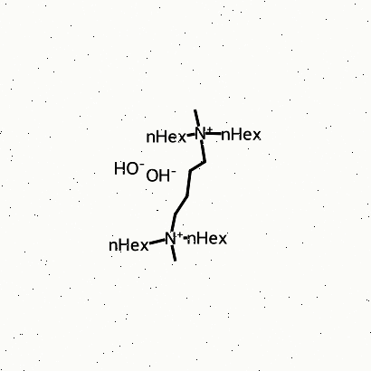 CCCCCC[N+](C)(CCCCCC)CCCC[N+](C)(CCCCCC)CCCCCC.[OH-].[OH-]